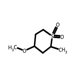 COC1CCS(=O)(=O)C(C)C1